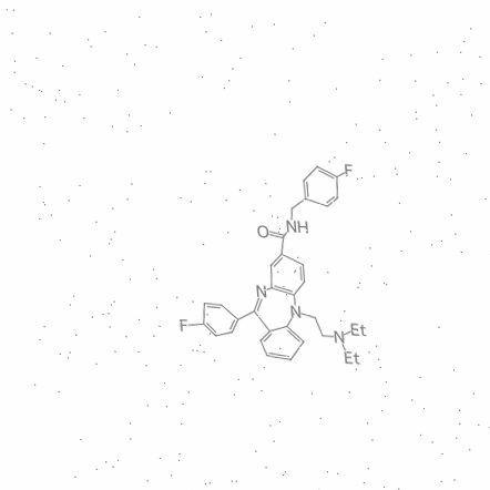 CCN(CC)CCN1c2ccc(C(=O)NCc3ccc(F)cc3)cc2N=C(c2ccc(F)cc2)c2ccccc21